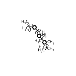 CCCC(C)(C)C(=O)c1cccc(C(=O)Oc2ccc(C(C)(C)c3ccc(OC(C)(C)CC)c(C)c3)cc2C)c1